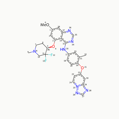 COc1cc(O[C@@H]2CCN(C)CC2(F)F)c2c(Nc3ccc(Oc4ccn5ncnc5c4)c(C)c3)ncnc2c1